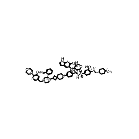 COc1cc(CN2CCN(C3CC4(CCN(c5ccc(C(=O)NS(=O)(=O)c6ccc(NC[C@H]7CC[C@](C)(O)CC7)c([N+](=O)[O-])c6)c(N6c7cc8cc[nH]c8nc7O[C@H]7COCC[C@@H]76)c5)CC4)C3)[C@H](c3ccccc3C)C2)cnc1N1CCOCC1